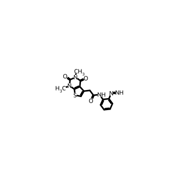 Cn1c(=O)c2c(CC(=O)Nc3ccccc3N=N)csc2n(C)c1=O